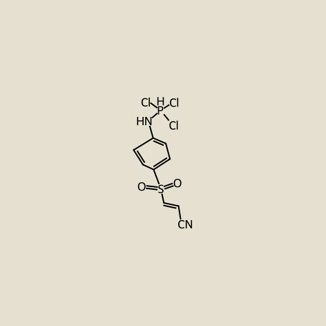 N#CC=CS(=O)(=O)c1ccc(N[PH](Cl)(Cl)Cl)cc1